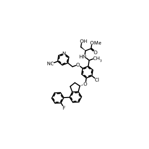 COC(=O)[C@H](CO)NC(C)c1cc(Cl)c(O[C@H]2CCc3c(-c4ccccc4F)cccc32)cc1OCc1cncc(C#N)c1